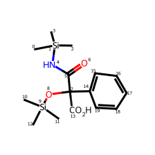 C[Si](C)(C)NC(=O)C(O[Si](C)(C)C)(C(=O)O)c1ccccc1